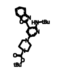 CC(C)(C)Nc1ncc(N2CCN(C(=O)OC(C)(C)C)CC2)cc1-c1nc2ccccc2o1